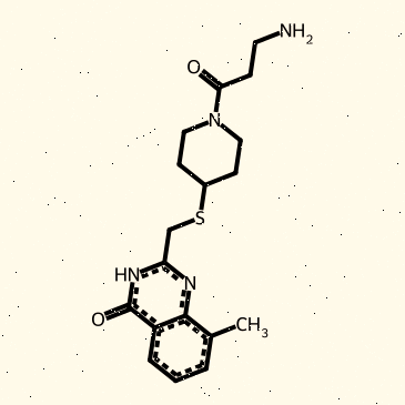 Cc1cccc2c(=O)[nH]c(CSC3CCN(C(=O)CCN)CC3)nc12